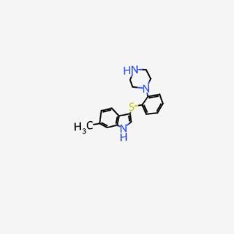 Cc1ccc2c(Sc3ccccc3N3CCNCC3)c[nH]c2c1